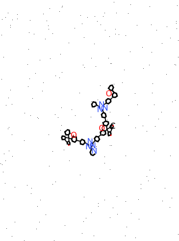 c1ccc(-c2nc(-c3ccc(-c4ccc5c(c4)Oc4cc(-c6ccc(-c7nc(-c8ccc(-c9ccc%10c(c9)Oc9ccccc9C%109c%10ccccc%10-c%10ccccc%109)cc8)nc(-c8ccccn8)n7)cc6)ccc4C54c5ccccc5-c5ccccc54)cc3)nc(-c3ccc(-c4cccc5c4oc4ccccc45)cc3)n2)cc1